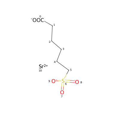 O=C([O-])CCCCCS(=O)(=O)[O-].[Sr+2]